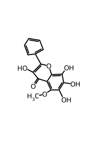 COc1c(O)c(O)c(O)c2oc(-c3ccccc3)c(O)c(=O)c12